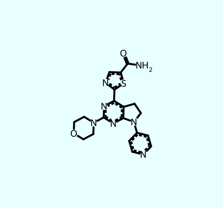 NC(=O)c1cnc(-c2nc(N3CCOCC3)nc3c2CCN3c2ccncc2)s1